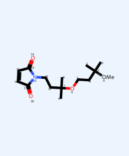 COC(C)(C)CCOC(C)(C)CCN1C(=O)C=CC1=O